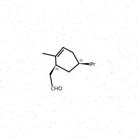 CC1=CC[C@@H](C(C)C)C[C@H]1CC=O